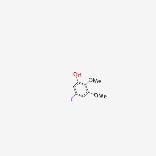 COc1cc(I)cc(O)c1OC